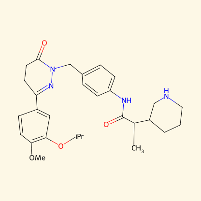 COc1ccc(C2=NN(Cc3ccc(NC(=O)C(C)C4CCCNC4)cc3)C(=O)CC2)cc1OC(C)C